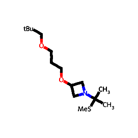 CSC(C)(C)N1CC(OCCCOCC(C)(C)C)C1